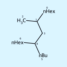 CCCCCCC(C)CC(CCCC)CCCCCC